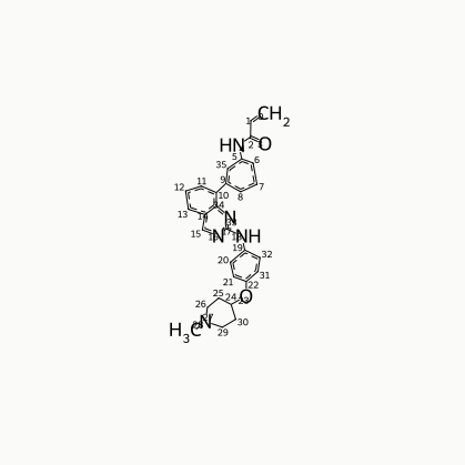 C=CC(=O)Nc1cccc(-c2cccc3cnc(Nc4ccc(OC5CCN(C)CC5)cc4)nc23)c1